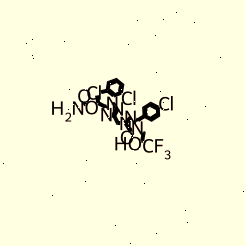 CC(OC(N)=O)c1nc(Cn2nc(-c3ccc(Cl)cc3)n(CC(O)C(F)(F)F)c2=O)nn1-c1c(Cl)cccc1Cl